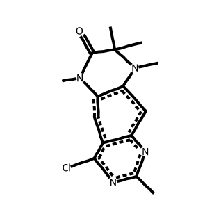 Cc1nc(Cl)c2cc3c(cc2n1)N(C)C(C)(C)C(=O)N3C